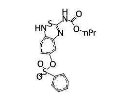 CCCOC(=O)NC1=Nc2cc(OS(=O)(=O)c3ccccc3)ccc2NS1